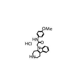 COc1ccc(NC(=O)Cn2c3c(c4ccccc42)CCNCC3)cc1.Cl